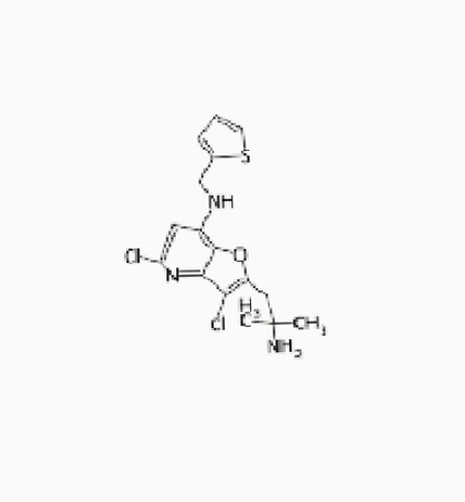 CC(C)(N)Cc1oc2c(NCc3cccs3)cc(Cl)nc2c1Cl